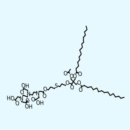 CCCCCCCCCCCCCCCC(=O)OCC(COC(C)=O)(COC(=O)CCCCCCCCCCCCCCC)C(=O)OCCCSCCCOC(=O)CN(CCN(CCN(CC(=O)O)CC(=O)O)CC(=O)O)CC(=O)O